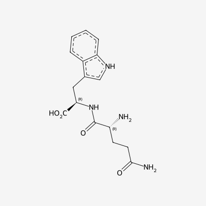 NC(=O)CC[C@@H](N)C(=O)N[C@H](Cc1c[nH]c2ccccc12)C(=O)O